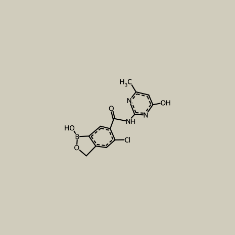 Cc1cc(O)nc(NC(=O)c2cc3c(cc2Cl)COB3O)n1